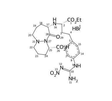 Br.CCOC(=O)[C@H](CCc1ccc(NC(N)=N[N+](=O)[O-])cc1)N[C@H]1CCCN2CCC[C@@H](C(=O)O)N2C1=O